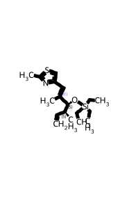 C=C[C@H](C)[C@H](O[Si](CC)(CC)CC)/C(C)=C/c1csc(C)n1